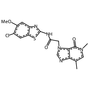 COc1cc2nc(NC(=O)Cn3cnc4c(C)cn(C)c(=O)c43)sc2cc1Cl